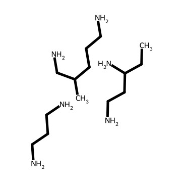 CC(CN)CCCN.CCC(N)CCN.NCCCN